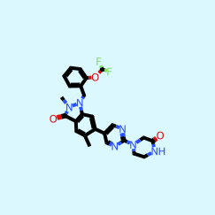 Cc1cc2c(=O)n(C)n(Cc3ccccc3OC(F)F)c2cc1-c1cnc(N2CCNC(=O)C2)nc1